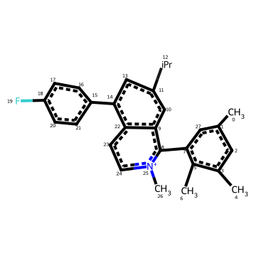 Cc1cc(C)c(C)c(-c2c3cc(C(C)C)cc(-c4ccc(F)cc4)c3cc[n+]2C)c1